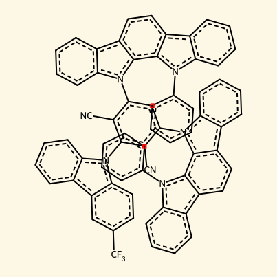 N#Cc1c(-n2c3ccccc3c3ccc4c5ccccc5n(-c5ccccc5)c4c32)cc(-n2c3ccccc3c3ccc4c5ccccc5n(-c5ccccc5)c4c32)c(C#N)c1-n1c2ccccc2c2cc(C(F)(F)F)ccc21